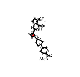 CNC(=O)c1ccc(N2CCC(N3CC4(c5nn6ccc(C(F)(F)F)c6c(=O)[nH]5)CC3C4)CC2)cn1